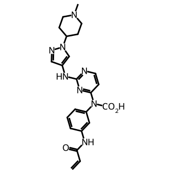 C=CC(=O)Nc1cccc(N(C(=O)O)c2ccnc(Nc3cnn(C4CCN(C)CC4)c3)n2)c1